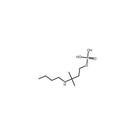 CCCCNC(C)(C)CCOP(=O)(O)O